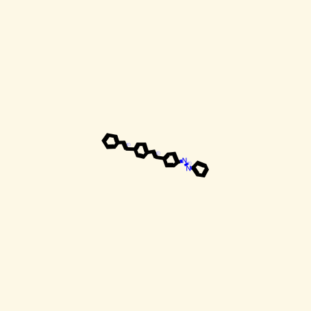 C(=C\c1ccc(/C=C/c2ccc(/N=N/c3ccccc3)cc2)cc1)/c1ccccc1